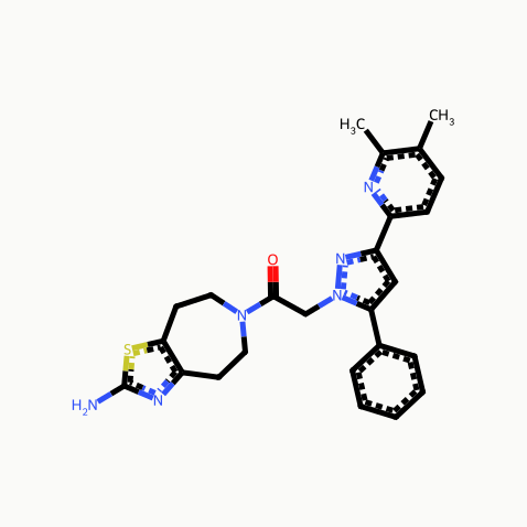 Cc1ccc(-c2cc(-c3ccccc3)n(CC(=O)N3CCc4nc(N)sc4CC3)n2)nc1C